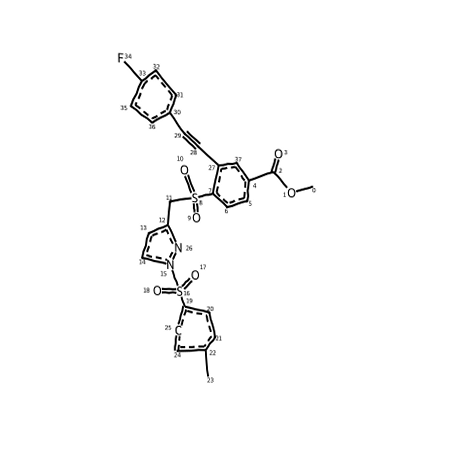 COC(=O)c1ccc(S(=O)(=O)Cc2ccn(S(=O)(=O)c3ccc(C)cc3)n2)c(C#Cc2ccc(F)cc2)c1